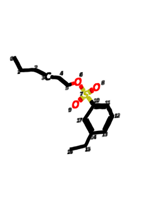 CCCCCCOS(=O)(=O)c1cccc(CC)c1